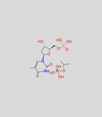 CC(C)[O][Ti]([OH])([OH])[OH].Cc1cn([C@H]2C[C@H](O)[C@@H](COP(=O)(O)O)O2)c(=O)[nH]c1=O